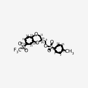 Cc1ccc(S(=O)(=O)OC[C@H]2COc3ccc(S(=O)(=O)C(F)(F)F)cc3O2)cc1